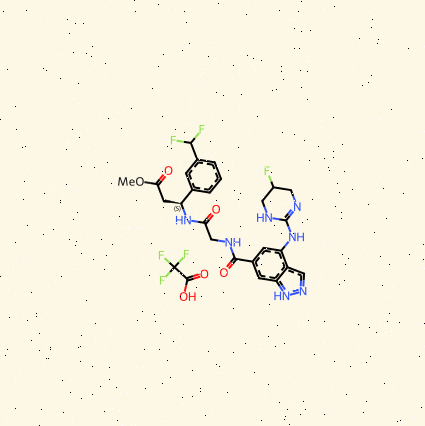 COC(=O)C[C@H](NC(=O)CNC(=O)c1cc(NC2=NCC(F)CN2)c2cn[nH]c2c1)c1cccc(C(F)F)c1.O=C(O)C(F)(F)F